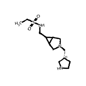 CCS(=O)(=O)NCC1C2CN(C[C@@H]3CCNC3)CC12